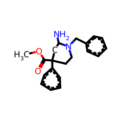 COC(=O)C1(c2ccccc2)CCN(Cc2ccccc2)C(N)C1